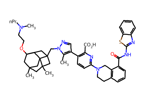 CCCN(C)CCOC12CC3(C)CC4(C)CC(Cn5ncc(-c6ccc(N7CCc8cccc(C(=O)Nc9nc%10ccccc%10s9)c8C7)nc6C(=O)O)c5C)(C1)C4(C3)C2